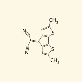 Cc1cc2c(s1)-c1sc(C)cc1C2=C(C#N)C#N